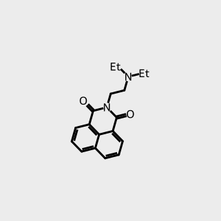 CCN(CC)CCN1C(=O)c2cccc3cccc(c23)C1=O